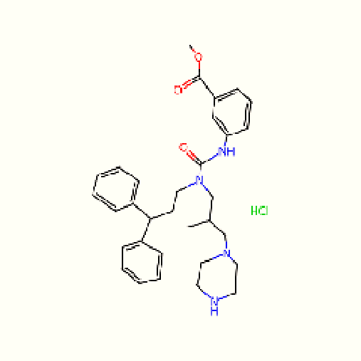 COC(=O)c1cccc(NC(=O)N(CCC(c2ccccc2)c2ccccc2)CC(C)CN2CCNCC2)c1.Cl